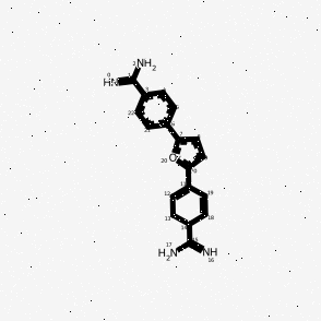 N=C(N)c1ccc(-c2ccc(C3=CCC(C(=N)N)C=C3)o2)cc1